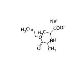 C=CCOC(=O)C(C)NC(C)C(=O)[O-].[Na+]